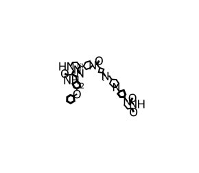 CN(CC1CCN(c2ccc(N3CCC(=O)NC3=O)cc2)CC1)C1CC(C(=O)N2CCC([C@@H]3CCNc4c(C(N)=O)c(-c5ccc(Oc6ccccc6)cc5)nn43)CC2)C1